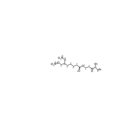 CCCC(CC)NCCOC(=O)CCCCC(CO[N+](=O)[O-])O[N+](=O)[O-]